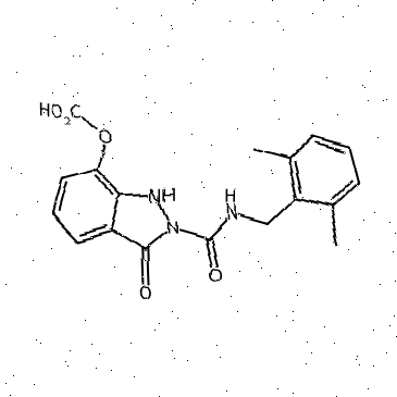 Cc1cccc(C)c1CNC(=O)n1[nH]c2c(OC(=O)O)cccc2c1=O